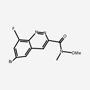 CON(C)C(=O)c1cc2cc(Br)cc(F)c2nn1